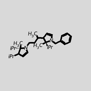 CC(C)C1C=CN(CCC(C)C2C=CN(Cc3ccccc3)[C@@]2(C)C(C)C)[C@@]1(C)C(C)C